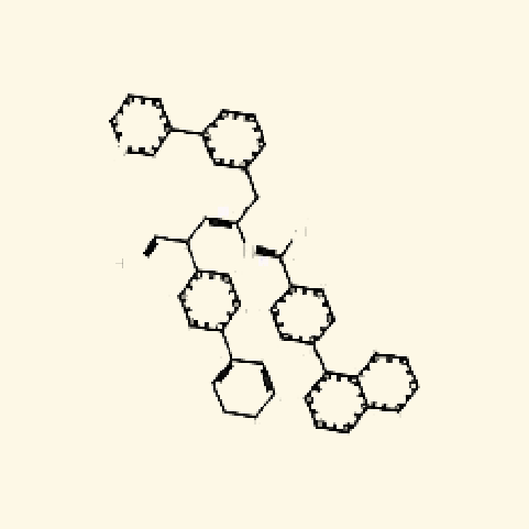 C=CC(/C=C(Cc1cccc(-c2cccnc2)c1)\N=C(/C)c1ccc(-c2cccc3ccccc23)cc1)c1ccc(C2=CCCC=C2)cc1